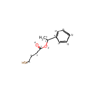 CC(OC(=O)CCCS)c1ccccc1